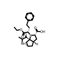 CCOC(=O)[C@H](CCc1ccccc1)N1[C@H](C(=O)O)C[C@@H]2CCC[C@@]21C(=O)C(C)N